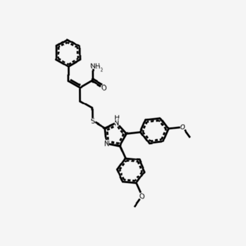 COc1ccc(-c2nc(SCC/C(=C/c3ccccc3)C(N)=O)[nH]c2-c2ccc(OC)cc2)cc1